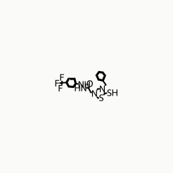 O=C(CN1CSC(S)N(Cc2ccccc2)C1)NNc1ccc(C(F)(F)F)cc1